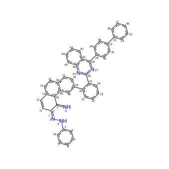 N=C1/C(=N\Nc2ccccc2)C=Cc2ccc3ccc(-c4ccccc4-c4nc(-c5ccc(-c6ccccc6)cc5)c5ccccc5n4)cc3c21